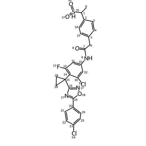 CC(c1ccc(CC(=O)Nc2cc(F)c(C3(c4noc(-c5ccc(Cl)cc5)n4)CC3)c(Cl)c2)cc1)[SH](=O)=O